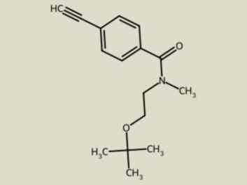 C#Cc1ccc(C(=O)N(C)CCOC(C)(C)C)cc1